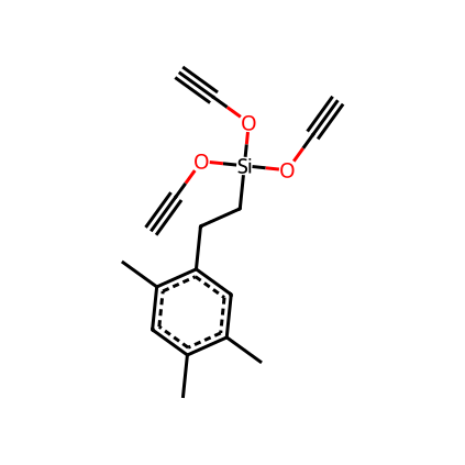 C#CO[Si](CCc1cc(C)c(C)cc1C)(OC#C)OC#C